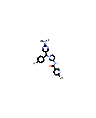 CCN(CC)c1ncc(C(c2ccc(C#N)cc2)N2CCC(NC(=O)c3ccc(C#N)nc3)C2)cn1